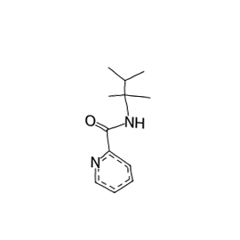 CC(C)C(C)(C)NC(=O)c1ccccn1